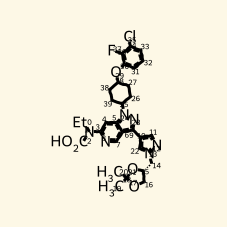 CCN(C(=O)O)c1cc2c(cn1)c(-c1cnn(C[C@@H]3COC(C)(C)O3)c1)nn2C1CCC(Oc2cccc(Cl)c2F)CC1